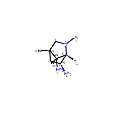 CC(C)N1C[C@H]2C[C@H](N)[C@@H]1[C@@H]2N